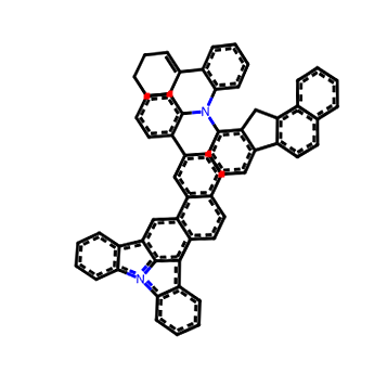 C1=C(c2ccccc2N(c2ccccc2-c2ccc3ccc4c(cc5c6ccccc6n6c7ccccc7c4c56)c3c2)c2cccc3c2Cc2c-3ccc3ccccc23)CCCC1